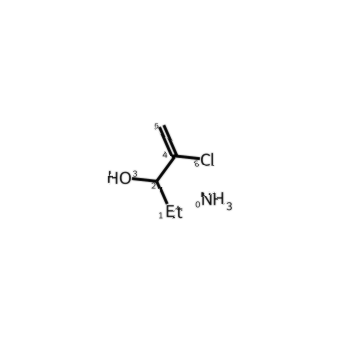 N.[CH2]CC(O)C(=C)Cl